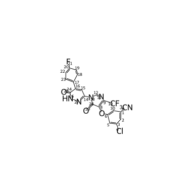 N#Cc1cc(Cl)cc(Oc2c(C(F)(F)F)ncn(-c3cc(-c4ccc(F)cc4)c(=O)[nH]n3)c2=O)c1